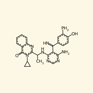 CC(Nc1ncnc(N)c1C(=N)c1ccc(O)c(P)c1)c1nc2ccccc2c(=O)n1C1CC1